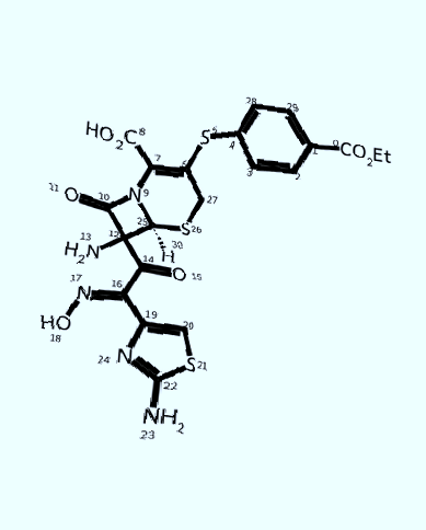 CCOC(=O)c1ccc(SC2=C(C(=O)O)N3C(=O)C(N)(C(=O)C(=NO)c4csc(N)n4)[C@@H]3SC2)cc1